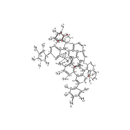 [2H]c1c([2H])c([2H])c(-c2cc(-c3c([2H])c([2H])c([2H])c([2H])c3[2H])c(N(c3cccc4ccccc34)c3cc4ccc(N(c5c(-c6c([2H])c([2H])c([2H])c([2H])c6[2H])cc(-c6c([2H])c([2H])c([2H])c([2H])c6[2H])cc5C(F)(F)F)c5cccc6ccccc56)c5ccc6cccc3c6c45)c(C(F)(F)F)c2)c([2H])c1[2H]